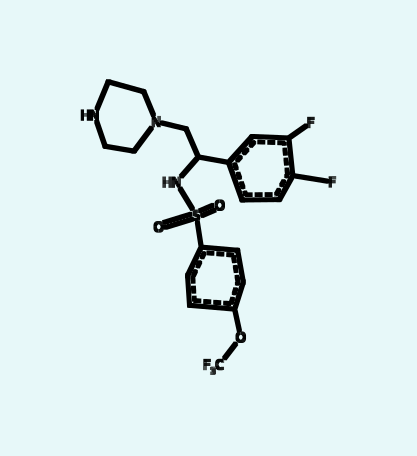 O=S(=O)(NC(CN1CCNCC1)c1ccc(F)c(F)c1)c1ccc(OC(F)(F)F)cc1